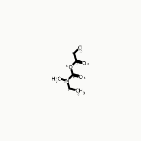 CCN(C)C(=O)OC(=O)CCl